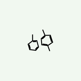 Cc1ccc(C)cc1.Cc1ccccc1